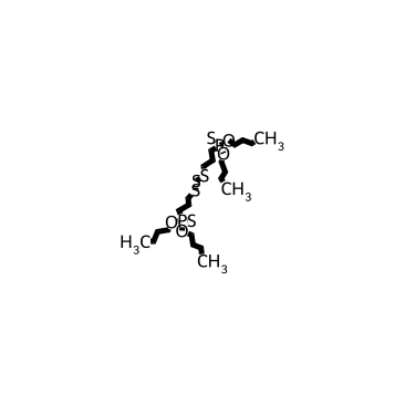 CCCCOP(=S)(CCCSSSCCCP(=S)(OCCCC)OCCCC)OCCCC